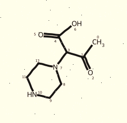 CC(=O)C(C(=O)O)N1CCNCC1